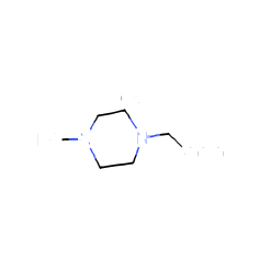 CN1CCN(CC(=O)[O-])CC1.[Cs+]